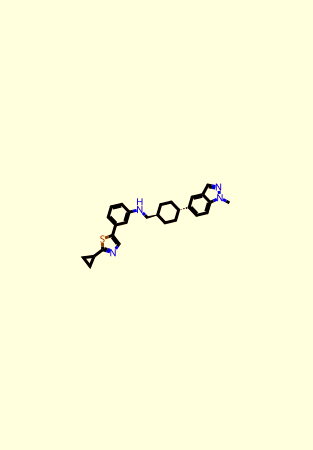 Cn1ncc2cc([C@H]3CC[C@H](CNc4cccc(-c5cnc(C6CC6)s5)c4)CC3)ccc21